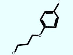 Fc1c[c]c(OCCCCl)cc1